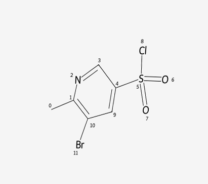 Cc1ncc(S(=O)(=O)Cl)cc1Br